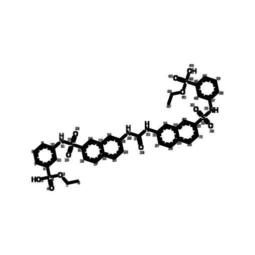 CCOP(=O)(O)c1cccc(NS(=O)(=O)c2ccc3ccc(NC(=O)Nc4ccc5ccc(S(=O)(=O)Nc6cccc(P(=O)(O)OCC)c6)cc5c4)cc3c2)c1